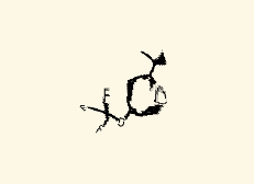 CC(C)c1cc(OC(F)(F)F)co1